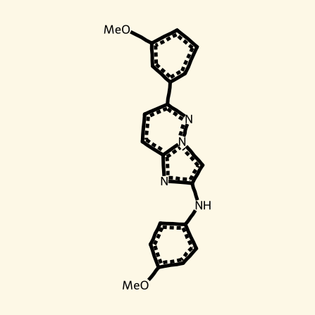 COc1ccc(Nc2cn3nc(-c4cccc(OC)c4)ccc3n2)cc1